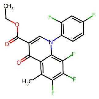 CCOC(=O)c1cn(-c2ccc(F)cc2F)c2c(F)c(F)c(F)c(C)c2c1=O